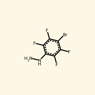 NNc1c(F)c(F)c(Br)c(F)c1F